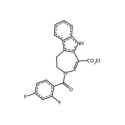 CCOC(=O)C1=CN(C(=O)c2ccc(F)cc2F)CCc2c1[nH]c1ccccc21